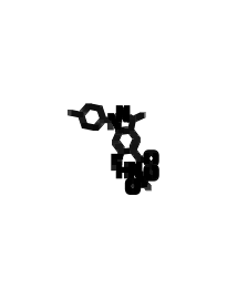 Cc1nn(C2CCC(C)CC2)c2cc(F)c(C(=O)NS(C)(=O)=O)cc12